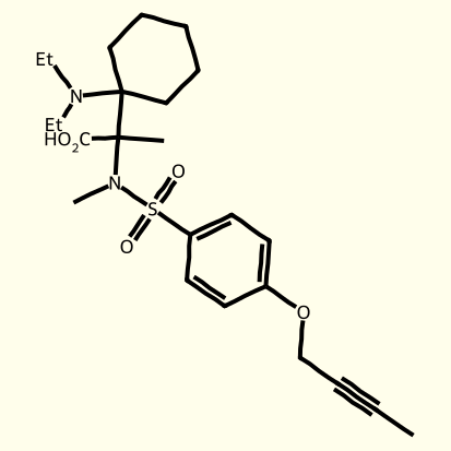 CC#CCOc1ccc(S(=O)(=O)N(C)C(C)(C(=O)O)C2(N(CC)CC)CCCCC2)cc1